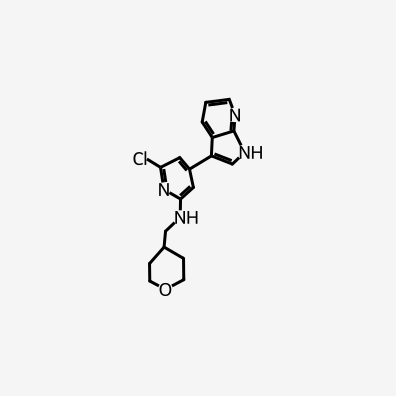 Clc1cc(-c2c[nH]c3ncccc23)cc(NCC2CCOCC2)n1